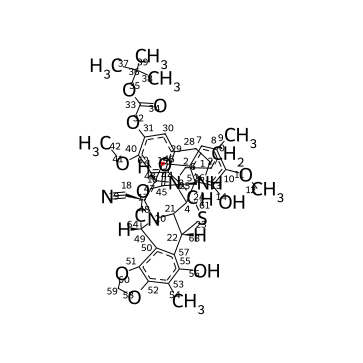 C=CCN1[C@H]2c3c(cc(C)c(OC)c3O)C[C@H]1[C@H](C#N)N1C2[C@@H]2SC[C@]3(NCCc4cc(OC(=O)OC(C)(C)C)c(OC)cc43)C(=O)OC[C@H]1c1c3c(c(C)c(O)c12)OCO3